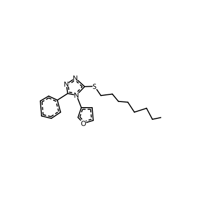 CCCCCCCCSc1nnc(-c2ccccc2)n1-c1ccoc1